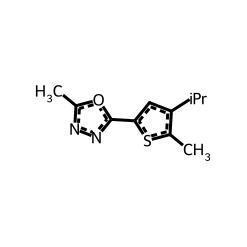 Cc1nnc(-c2cc(C(C)C)c(C)s2)o1